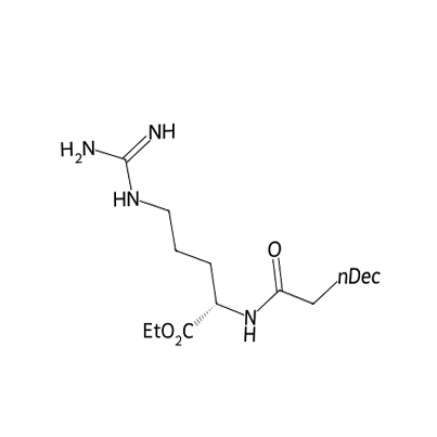 CCCCCCCCCCCC(=O)N[C@@H](CCCNC(=N)N)C(=O)OCC